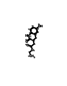 CCOC(=O)CC1Cc2cc(O)ccc2NC1=O